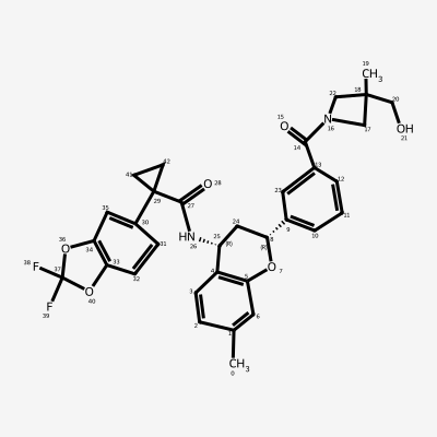 Cc1ccc2c(c1)O[C@@H](c1cccc(C(=O)N3CC(C)(CO)C3)c1)C[C@H]2NC(=O)C1(c2ccc3c(c2)OC(F)(F)O3)CC1